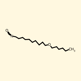 CCCCCCOCCCCCCCCCCN=C=O